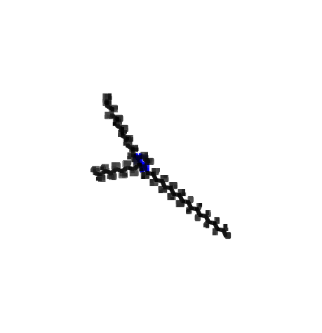 CCCCCCCCCCCCCCCCCCCn1cc[n+](CCCCCCCCCCCC)c1CCCCCCCC